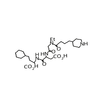 CCN(CC(=O)NC(CC(=O)O)C(=O)NC(CCC1CCCCC1)C(=O)O)C(=O)CCCC1CCNCC1